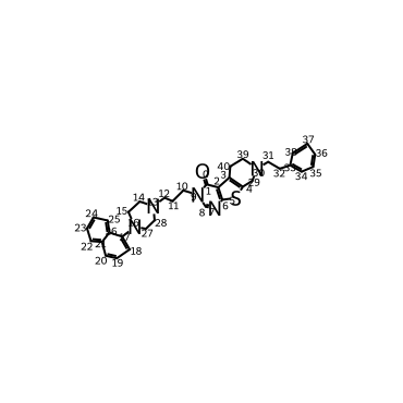 O=c1c2c3c(sc2ncn1CCCN1CCN(c2cccc4ccccc24)CC1)CN(CCc1ccccc1)CC3